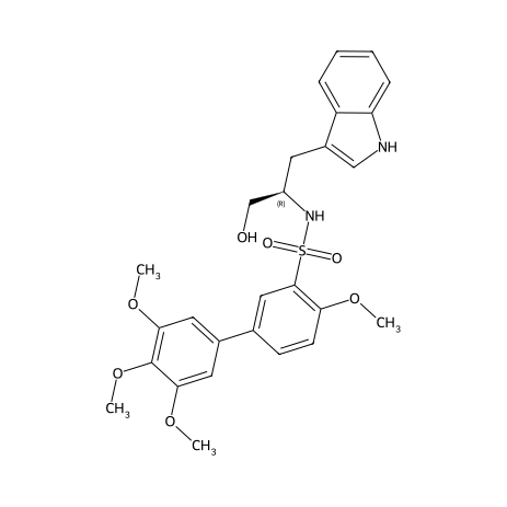 COc1ccc(-c2cc(OC)c(OC)c(OC)c2)cc1S(=O)(=O)N[C@@H](CO)Cc1c[nH]c2ccccc12